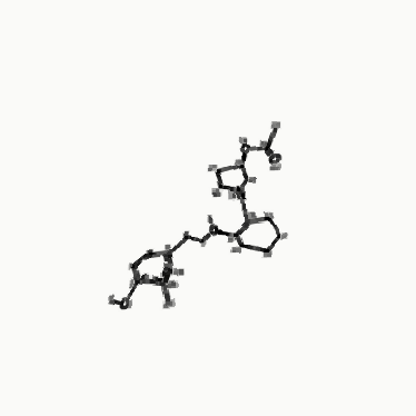 COc1ccc(CCO[C@@H]2CCCCC2N2CC[C@@H](OC(C)=O)C2)cc1C